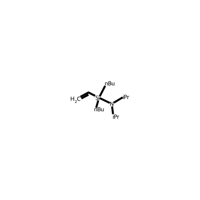 C=C[Si](CCCC)(CCCC)N(C(C)C)C(C)C